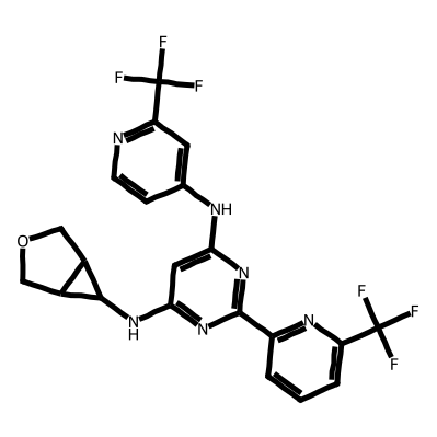 FC(F)(F)c1cc(Nc2cc(NC3C4COCC43)nc(-c3cccc(C(F)(F)F)n3)n2)ccn1